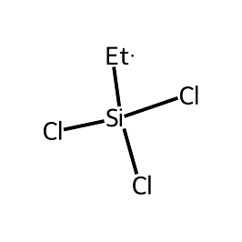 C[CH][Si](Cl)(Cl)Cl